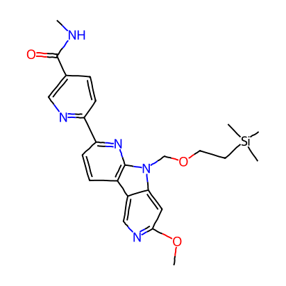 CNC(=O)c1ccc(-c2ccc3c4cnc(OC)cc4n(COCC[Si](C)(C)C)c3n2)nc1